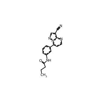 CCCC(=O)Nc1cccc(-c2ccnc3c(C#N)cnn23)c1